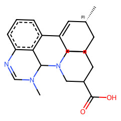 C[C@H]1C=C(c2cccc3c2C(N2CCCC(C(=O)O)C2)N(C)C=N3)CCC1